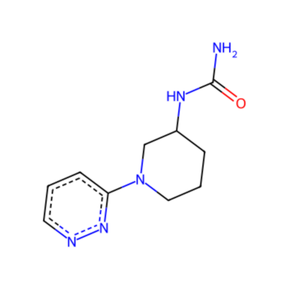 NC(=O)NC1CCCN(c2cccnn2)C1